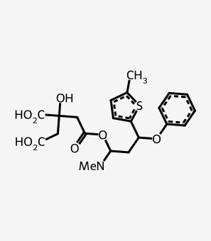 CNC(CC(Oc1ccccc1)c1ccc(C)s1)OC(=O)CC(O)(CC(=O)O)C(=O)O